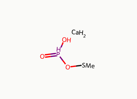 CSO[PH](=O)O.[CaH2]